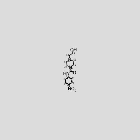 O=C(Nc1ccc([N+](=O)[O-])cc1)N1CCN(CCO)CC1